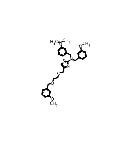 COc1cccc(COCCOCc2csc(N(Cc3cccc(OC)c3)Cc3cccc(N(C)C)c3)n2)c1